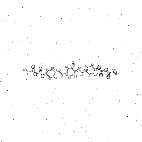 C=CC(=O)OC(=O)Oc1ccc(/C=C/c2ccc(/C=C/c3ccc(OC(=O)OC(=O)C=C)cc3)c(F)c2)cc1